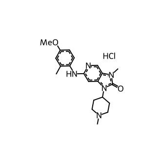 COc1ccc(Nc2cc3c(cn2)n(C)c(=O)n3C2CCN(C)CC2)c(C)c1.Cl